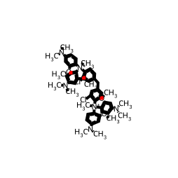 COc1cc(N(C)C)ccc1[N+](C)(c1ccc(Cc2ccc([N+](C)(c3ccc(N(C)C)cc3OC)c3ccc(N(C)C)cc3OC)c(Cl)c2)cc1Cl)c1ccc(N(C)C)cc1OC